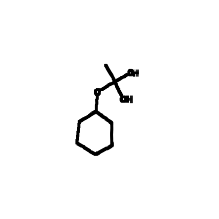 CC(O)(O)OC1CCCCC1